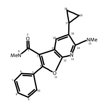 CNC(=O)c1c(-c2ccccc2)oc2nc(NC)c(C3CC3)cc12